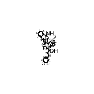 NC(=O)c1ccccc1CNC(=O)C1CC(F)(F)CN1C(=O)C(O)[CH]Cc1ccccc1